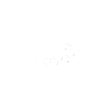 CC(F)(F)Oc1ccc(NC(=O)c2cnc(N3CCCC3)c(-c3ccns3)c2)cc1